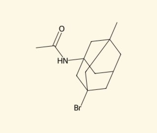 CC(=O)NC12CC3CC(C)(CC(Br)(C3)C1)C2